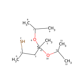 CC(S)C[Si](C)(OC(C)C)OC(C)C